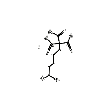 CC(C)CCCCC(C(=O)O)(C(=O)O)C(=O)O.[Ti]